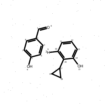 O=Cc1ccc(O)cc1.[2H]c1cccc(O)c1C1CC1